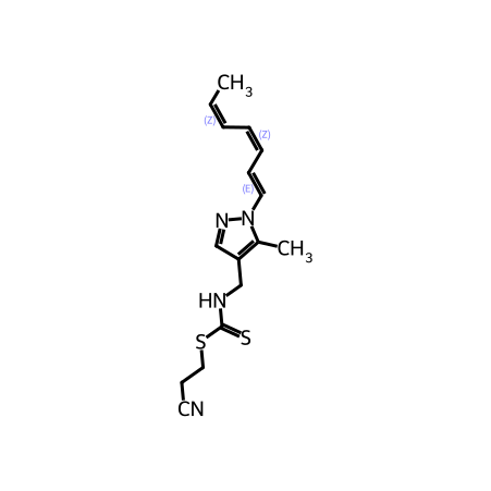 C\C=C/C=C\C=C\n1ncc(CNC(=S)SCCC#N)c1C